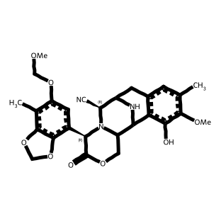 COCOc1cc([C@@H]2C(=O)OCC3C4NC(Cc5cc(C)c(OC)c(O)c54)[C@H](C#N)N32)c2c(c1C)OCO2